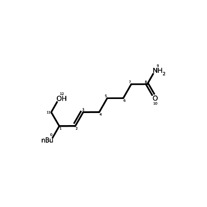 CCCCC(C=CCCCCC(N)=O)CO